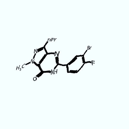 CCCc1nn(C)c2c(=O)[nH]c(-c3ccc(F)c(Br)c3)nc12